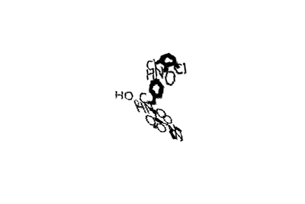 CN1CCN(C(=O)[C@@H]2OCO[C@H]2C(=O)NC(Cc2ccc(NC(=O)c3c(Cl)cccc3Cl)cc2)C(=O)O)CC1